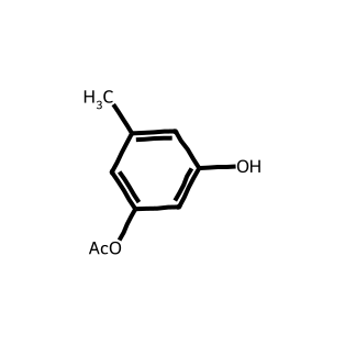 CC(=O)Oc1cc(C)cc(O)c1